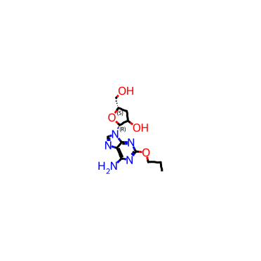 CCCOc1nc(N)c2ncn([C@@H]3O[C@H](CO)CC3O)c2n1